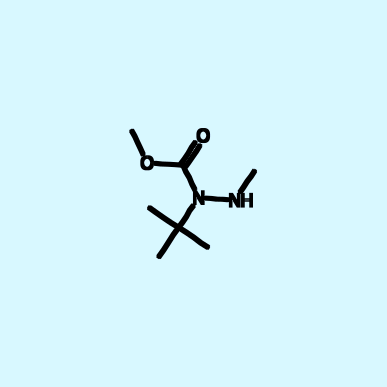 CNN(C(=O)OC)C(C)(C)C